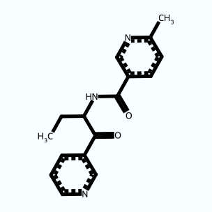 CCC(NC(=O)c1ccc(C)nc1)C(=O)c1cccnc1